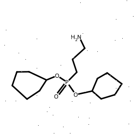 NCCCP(=O)(OC1CCCCC1)OC1CCCCC1